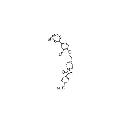 CCCSC(SCCC)c1ccc(OCCN2CCN(S(=O)(=O)c3ccc(C)cc3)CC2)c(Cl)c1